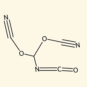 N#COC(N=C=O)OC#N